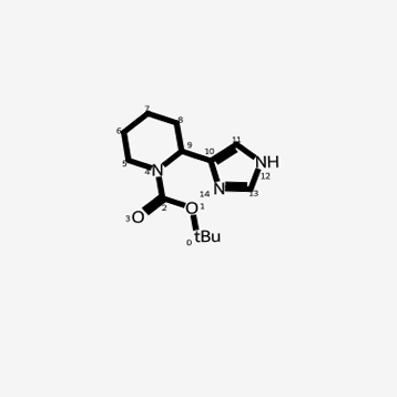 CC(C)(C)OC(=O)N1CCCCC1c1c[nH]cn1